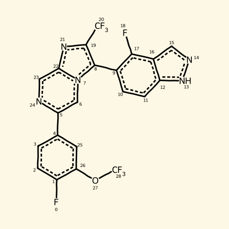 Fc1ccc(-c2cn3c(-c4ccc5[nH]ncc5c4F)c(C(F)(F)F)nc3cn2)cc1OC(F)(F)F